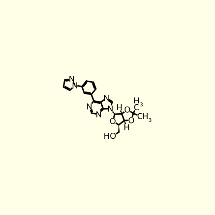 CC1(C)O[C@@H]2[C@H](O1)[C@@H](CO)O[C@H]2n1cnc2c(-c3cccc(-n4cccn4)c3)ncnc21